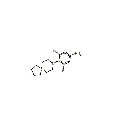 Nc1cc(F)c(N2CC[Si]3(CCCC3)CC2)c(F)c1